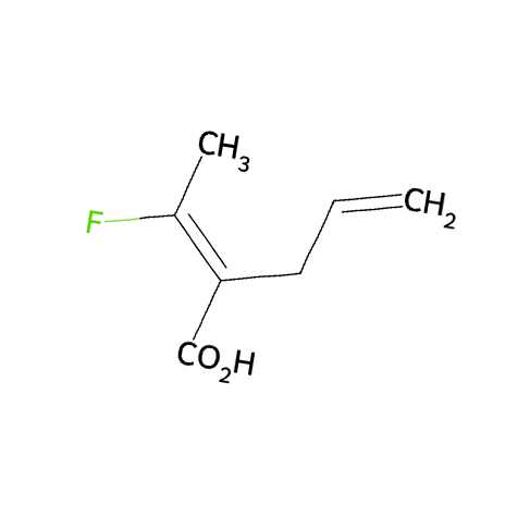 C=CCC(C(=O)O)=C(C)F